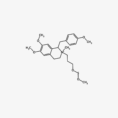 COSOCCC[N+]1(C)CCc2cc(OC)c(OC)cc2C1Cc1ccc(OC)cc1